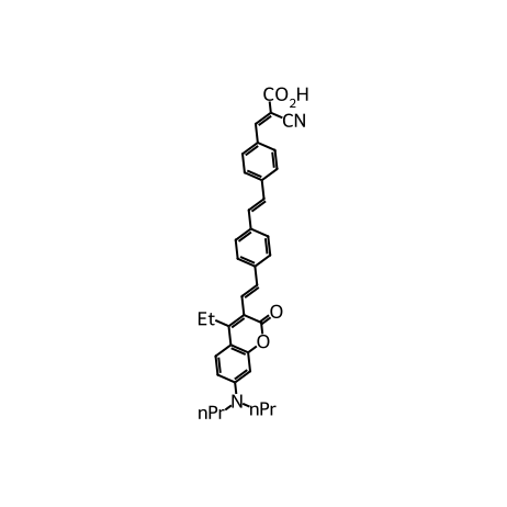 CCCN(CCC)c1ccc2c(CC)c(/C=C/c3ccc(/C=C/c4ccc(/C=C(\C#N)C(=O)O)cc4)cc3)c(=O)oc2c1